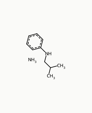 CC(C)CNc1ccccc1.N